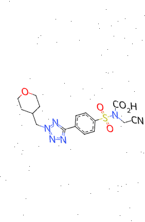 N#CCN(C(=O)O)S(=O)(=O)c1ccc(-c2nnn(CC3CCOCC3)n2)cc1